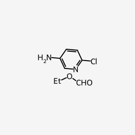 CCOC=O.Nc1ccc(Cl)nc1